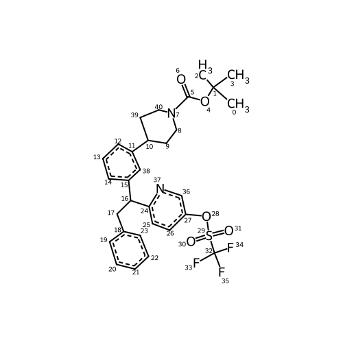 CC(C)(C)OC(=O)N1CCC(c2cccc(C(Cc3ccccc3)c3ccc(OS(=O)(=O)C(F)(F)F)cn3)c2)CC1